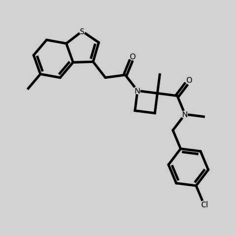 CC1=CCC2SC=C(CC(=O)N3CCC3(C)C(=O)N(C)Cc3ccc(Cl)cc3)C2=C1